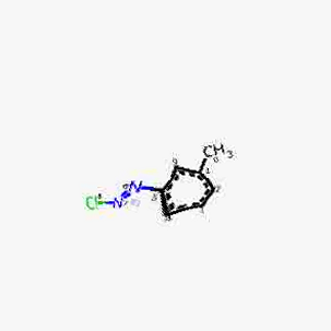 Cc1cccc(/N=N/Cl)c1